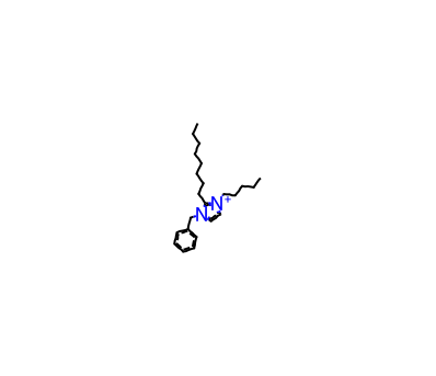 CCCCCCCCc1n(Cc2ccccc2)cc[n+]1CCCCC